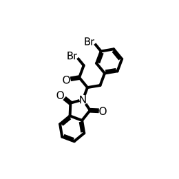 O=C(CBr)C(Cc1cccc(Br)c1)N1C(=O)c2ccccc2C1=O